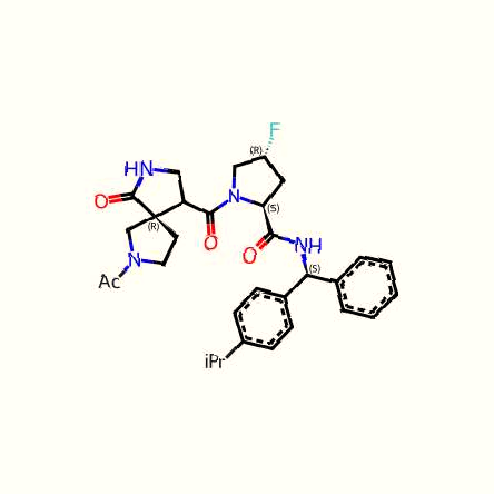 CC(=O)N1CC[C@@]2(C1)C(=O)NCC2C(=O)N1C[C@H](F)C[C@H]1C(=O)N[C@@H](c1ccccc1)c1ccc(C(C)C)cc1